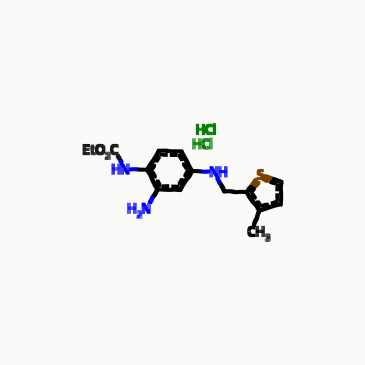 CCOC(=O)Nc1ccc(NCc2sccc2C)cc1N.Cl.Cl